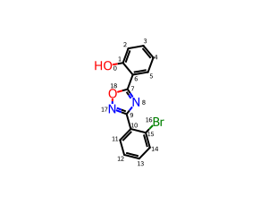 Oc1ccccc1-c1nc(-c2ccccc2Br)no1